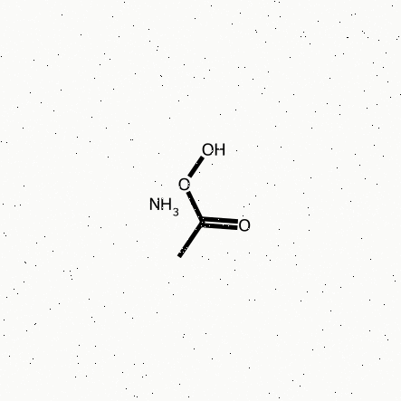 CC(=O)OO.N